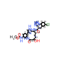 COC(=O)Nc1ccc2c(c1)NC(=O)C[C@H](O)/C=C/CC(NC(=O)/C=C/c1cc(Cl)ccc1-n1cnnn1)c1nc-2c[nH]1